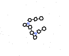 c1ccc(-c2ccc(-c3cccc(-n4c5ccccc5c5cc(-c6ccc7c8ccccc8n(-c8ccc(-c9ccccc9)cc8)c7c6)ccc54)c3)cc2)cc1